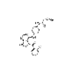 COCC(=O)NC1CCC(Nc2ncnc3[nH]cc(C(=O)c4ccccc4Cl)c23)CC1